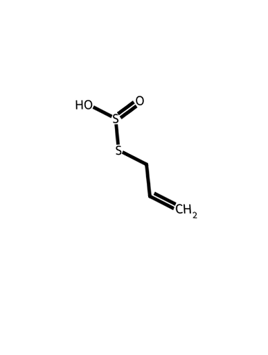 C=CCSS(=O)O